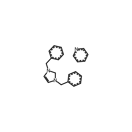 C1=CN(Cc2ccccc2)CN1Cc1ccccc1.c1ccncc1